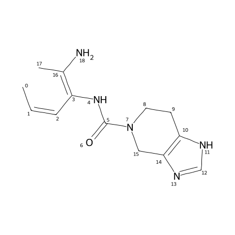 C/C=C\C(NC(=O)N1CCc2[nH]cnc2C1)=C(/C)N